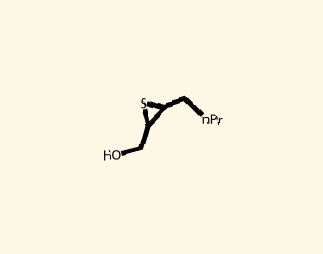 CCCCC1SC1CO